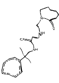 CC(C)(NC(=O)NCN1CCCC1=O)c1ccccc1